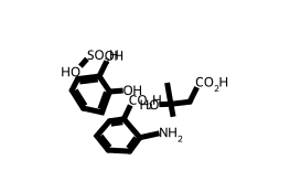 CC(C)(O)CC(=O)O.Nc1ccccc1C(=O)O.O=S(=O)(O)O.Oc1ccccc1O